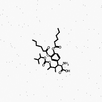 CCCCCC(=O)Oc1ccc(C(C(C)C(C)OC(=O)OC(C)C(C)C)[C@H](N)C(=O)O)cc1OC(=O)CCCCC